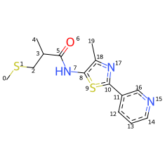 CSCC(C)C(=O)Nc1sc(-c2cccnc2)nc1C